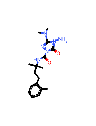 Cc1ccccc1CCC(C)(C)NC(=O)n1nc(N(C)C)n(N)c1=O